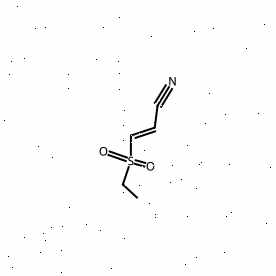 CCS(=O)(=O)C=CC#N